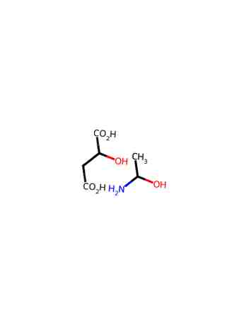 CC(N)O.O=C(O)CC(O)C(=O)O